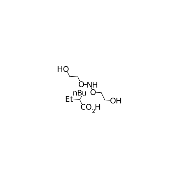 CCCCC(CC)C(=O)O.OCCONOCCO